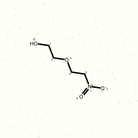 O=[N+]([O-])CCOCCO